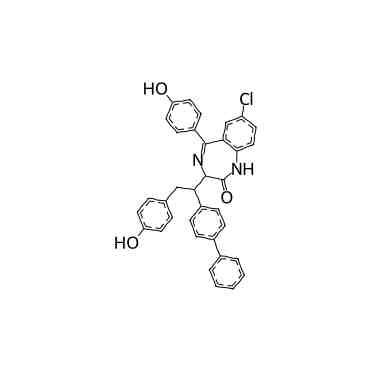 O=C1Nc2ccc(Cl)cc2C(c2ccc(O)cc2)=NC1C(Cc1ccc(O)cc1)c1ccc(-c2ccccc2)cc1